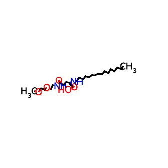 CCCCCCCCCCCCCCCCNC(CCC(=O)NCCOCCOC)C(=O)O